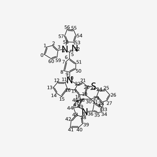 c1ccc(-n2c(-c3ccc(-n4c5ccccc5c5cc6c(cc54)Sc4ccccc4C64c5ccccc5-n5c6ccccc6c6cccc4c65)cc3)nc3ccccc32)cc1